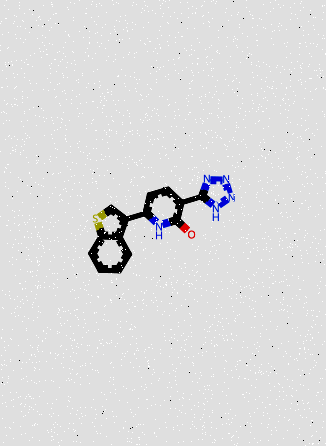 O=c1[nH]c(-c2csc3ccccc23)ccc1-c1nnn[nH]1